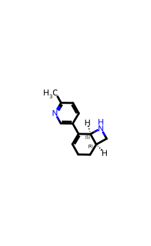 Cc1ccc(C2=CCC[C@@H]3CN[C@H]23)cn1